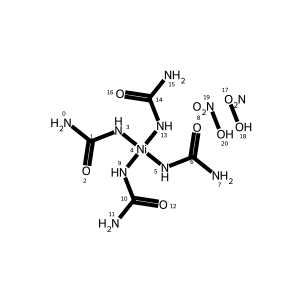 NC(=O)[NH][Ni]([NH]C(N)=O)([NH]C(N)=O)[NH]C(N)=O.O=[N+]([O-])O.O=[N+]([O-])O